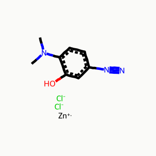 CN(C)c1ccc([N+]#N)cc1O.[Cl-].[Cl-].[Zn+]